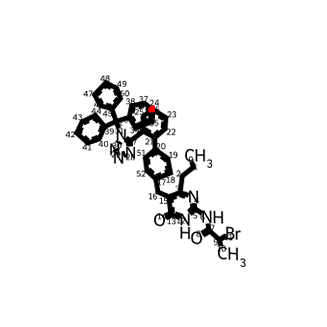 CCCc1nc(NC(=O)C(C)Br)[nH]c(=O)c1Cc1ccc(-c2ccccc2-c2nnnn2C(c2ccccc2)(c2ccccc2)c2ccccc2)cc1